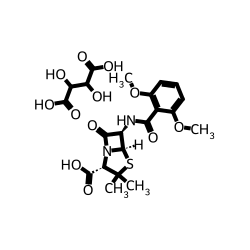 COc1cccc(OC)c1C(=O)N[C@@H]1C(=O)N2[C@@H]1SC(C)(C)[C@@H]2C(=O)O.O=C(O)C(O)C(O)C(=O)O